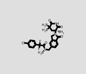 BN(Cc1ccc2c(c1)CN([C@@]1(B)CC(B)(B)C(=O)NC1=O)C2=O)C(=O)C(F)(F)c1ccc(Cl)cc1